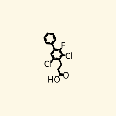 O=C(O)CCc1c(Cl)cc(-c2ccccc2)c(F)c1Cl